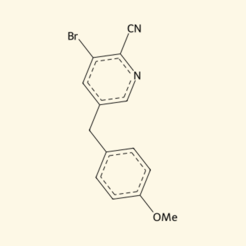 COc1ccc(Cc2cnc(C#N)c(Br)c2)cc1